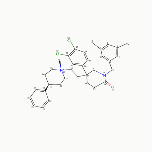 Cc1cc(C)cc(CN2CC(CC[N@+]3(C)CC[C@@H](c4ccccc4)CC3)(c3ccc(Cl)c(Cl)c3)CCC2=O)c1